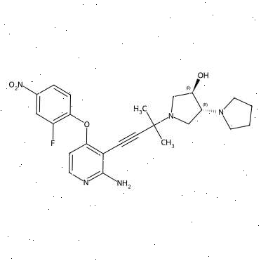 CC(C)(C#Cc1c(Oc2ccc([N+](=O)[O-])cc2F)ccnc1N)N1C[C@@H](O)[C@H](N2CCCC2)C1